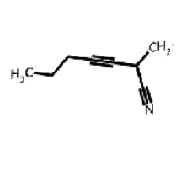 [CH2]C(C#N)C#CCCC